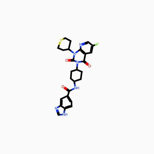 O=C(NC1CCC(n2c(=O)c3cc(F)cnc3n(C3CCSCC3)c2=O)CC1)c1ccc2[nH]cnc2c1